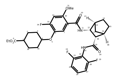 CCOC(=O)C1CCC(Oc2cc(C(=O)N[C@@H]3[C@H]4CC[C@H](C4)[C@@H]3C(=O)Nc3c(F)cccc3F)c(OC)cc2F)CC1